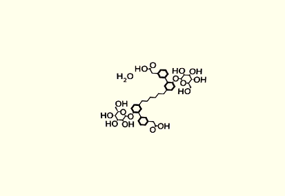 O.O=C(O)Cc1cccc(-c2cc(CCCCCCc3ccc(O[C@@H]4O[C@H](CO)[C@@H](O)[C@H](O)[C@@H]4O)c(-c4cccc(CC(=O)O)c4)c3)ccc2O[C@@H]2O[C@H](CO)[C@@H](O)[C@H](O)[C@@H]2O)c1